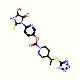 CC(C)C1NC(=S)N(c2ccc(OC(=O)N3CCC(C(C)Sc4nnn[nH]4)CC3)cn2)C1=O